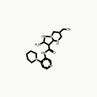 N#CCC1CNC2C(C(=O)Nc3cnccc3N3CCCCC3)C(N)NN2C1